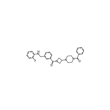 O=C(c1ccccc1)N1CCN(C2CN(C(=O)c3cccc(CNc4ccccc4F)c3)C2)CC1